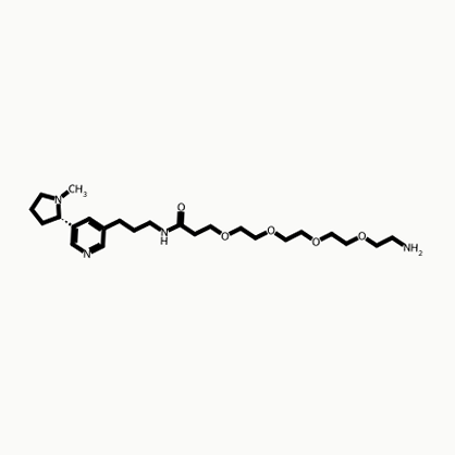 CN1CCC[C@H]1c1cncc(CCCNC(=O)CCOCCOCCOCCOCCN)c1